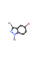 CCc1nn(CC)c2ccc(Br)cc12